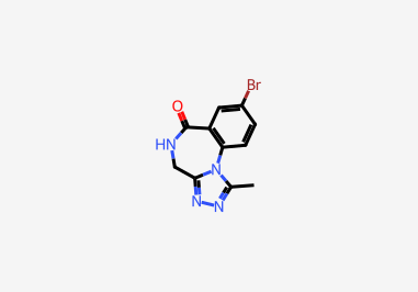 Cc1nnc2n1-c1ccc(Br)cc1C(=O)NC2